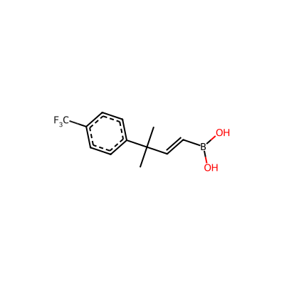 CC(C)(/C=C/B(O)O)c1ccc(C(F)(F)F)cc1